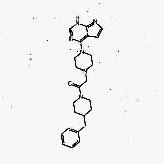 O=C(CN1CCN(c2nc[nH]c3nccc2-3)CC1)N1CCC(Cc2ccccc2)CC1